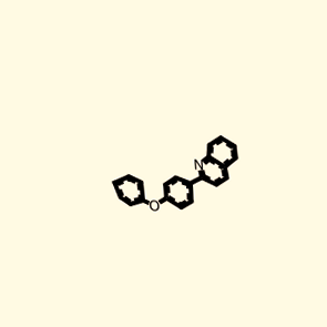 c1ccc(Oc2ccc(-c3ccc4ccccc4n3)cc2)cc1